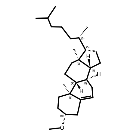 CO[C@@H]1CC[C@]2(C)C(=CC[C@@H]3[C@H]4CC[C@@H]([C@@H](C)CCCC(C)C)[C@]4(C)CC[C@H]32)C1